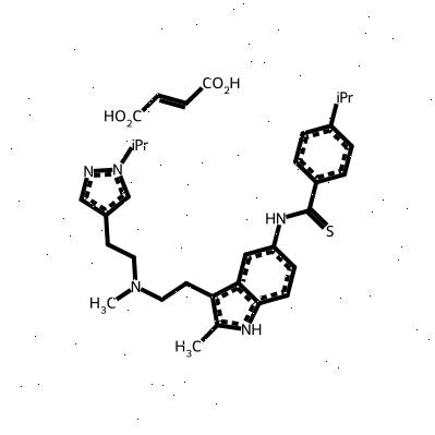 Cc1[nH]c2ccc(NC(=S)c3ccc(C(C)C)cc3)cc2c1CCN(C)CCc1cnn(C(C)C)c1.O=C(O)/C=C/C(=O)O